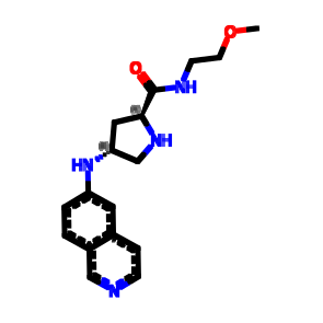 COCCNC(=O)[C@@H]1C[C@@H](Nc2ccc3cnccc3c2)CN1